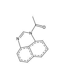 CC(=O)N1C=Nc2cccc3cccc1c23